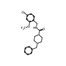 O=C(NCc1ccc(Cl)cc1OC(F)(F)F)N1CCN(Cc2ccccc2)CC1